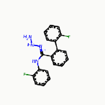 NN/N=C(\Nc1ccccc1F)c1ccccc1-c1ccccc1F